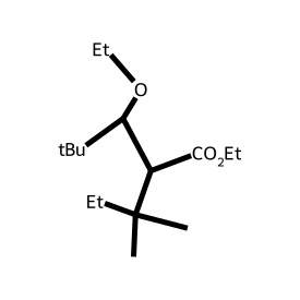 CCOC(=O)C(C(OCC)C(C)(C)C)C(C)(C)CC